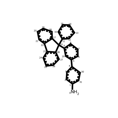 Nc1ccc(-c2cccc(C3(c4ccccc4)c4ccccc4-c4ccccc43)c2)cc1